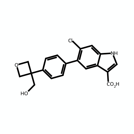 O=C(O)c1c[nH]c2cc(Cl)c(-c3ccc(C4(CO)COC4)cc3)cc12